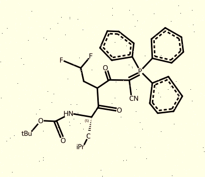 CC(C)C[C@H](NC(=O)OC(C)(C)C)C(=O)C(CC(F)F)C(=O)C(C#N)=P(c1ccccc1)(c1ccccc1)c1ccccc1